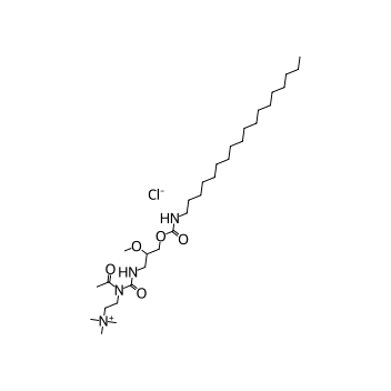 CCCCCCCCCCCCCCCCCCNC(=O)OCC(CNC(=O)N(CC[N+](C)(C)C)C(C)=O)OC.[Cl-]